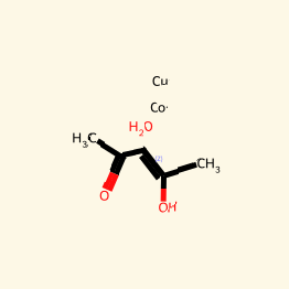 CC(=O)/C=C(/C)O.O.[Co].[Cu]